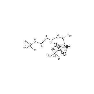 C[C@@H](CCCCCC(C)(C)C)NS(=O)(=O)C(C)(C)C